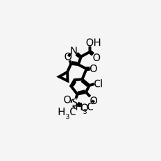 COc1c(S(C)(=O)=O)ccc(C(=O)c2c(C(=O)O)noc2C2CC2)c1Cl